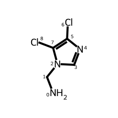 NCn1cnc(Cl)c1Cl